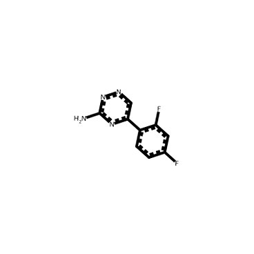 Nc1nncc(-c2ccc(F)cc2F)n1